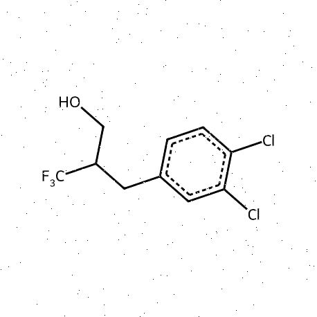 OCC(Cc1ccc(Cl)c(Cl)c1)C(F)(F)F